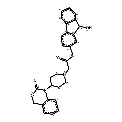 O=C(CN1CCC(N2C(=O)OCc3ccccc32)CC1)Nc1ccc2c(c1)C(O)c1ccccc1-2